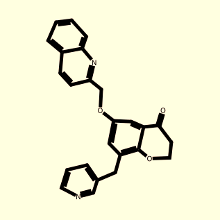 O=C1CCOc2c(Cc3cccnc3)cc(OCc3ccc4ccccc4n3)cc21